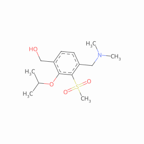 CC(C)Oc1c(CO)ccc(CN(C)C)c1S(C)(=O)=O